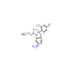 CC(C)(C)OCC1COC(Cc2ccc(N)cc2)(c2ccc(Cl)cc2Cl)O1